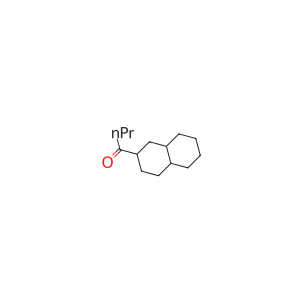 CCCC(=O)C1CCC2CCCCC2C1